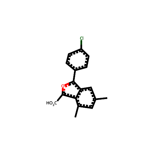 Cc1cc(C)c2c(C(=O)O)oc(-c3ccc(Cl)cc3)c2c1